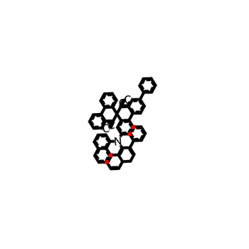 C1=CC2=C(N(c3ccc4c(c3)C3(c5ccccc5-c5cccc6cccc3c56)c3cccc5c(-c6ccccc6)ccc-4c35)c3cccc4ccccc34)C(c3ccccc3)=CCC2C=C1